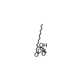 CCCCCCCCCCC(CC1CO1)C(O)(O)CC1CO1